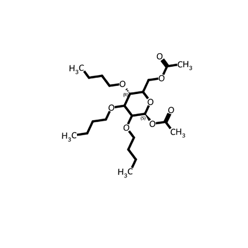 CCCCOC1C(OCCCC)[C@H](OCCCC)C(COC(C)=O)O[C@H]1OC(C)=O